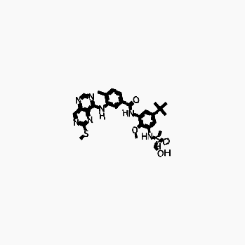 COc1c(NC(=O)c2ccc(C)c(Nc3ncnc4cnc(SC)nc34)c2)cc(C(C)(C)C)cc1N[SH](C)(=O)CO